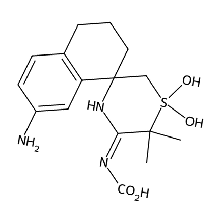 CC1(C)/C(=N\C(=O)O)NC2(CCCc3ccc(N)cc32)CS1(O)O